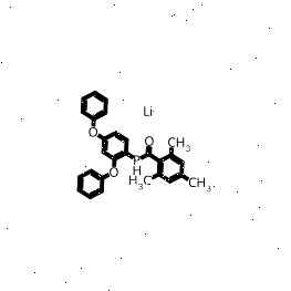 Cc1cc(C)c(C(=O)Pc2ccc(Oc3ccccc3)cc2Oc2ccccc2)c(C)c1.[Li]